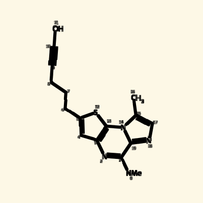 CNc1nc2cc(CCCC#CO)sc2n2c(C)cnc12